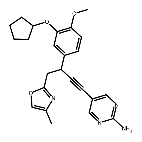 COc1ccc(C(C#Cc2cnc(N)nc2)Cc2nc(C)co2)cc1OC1CCCC1